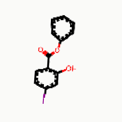 O=C(Oc1ccccc1)c1ccc(I)cc1O